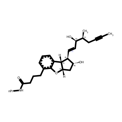 CC#CC[C@H](C)[C@H](O)/C=C/[C@@H]1[C@H]2c3cccc(CCCC(=O)NCCC)c3O[C@H]2C[C@H]1O